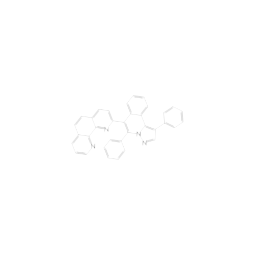 c1ccc(-c2cnn3c(-c4ccccc4)c(-c4ccc5ccc6cccnc6c5n4)c4ccccc4c23)cc1